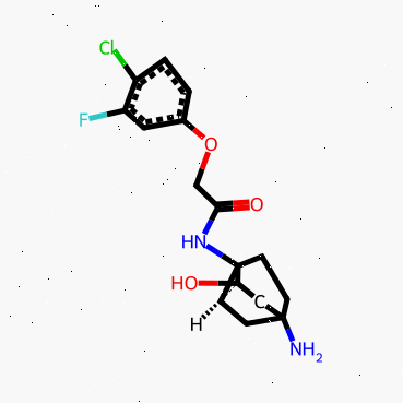 NC12CCC(NC(=O)COc3ccc(Cl)c(F)c3)(CC1)[C@H](O)C2